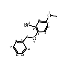 COc1ccc(OCc2ccccc2)c(Br)c1